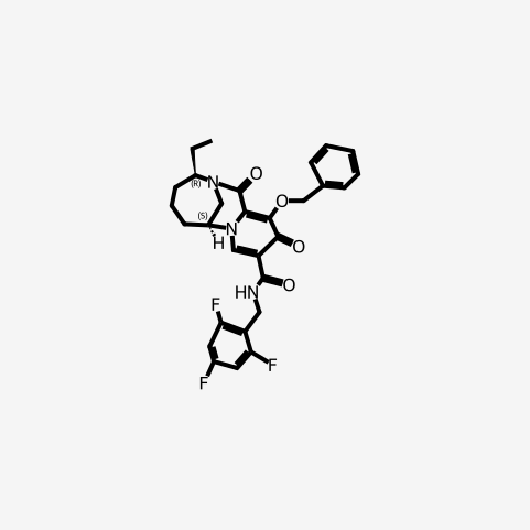 CC[C@@H]1CCC[C@H]2CN1C(=O)c1c(OCc3ccccc3)c(=O)c(C(=O)NCc3c(F)cc(F)cc3F)cn12